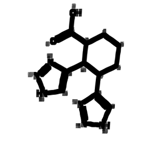 O=C(O)C1CCCC(c2c[nH]nn2)C1c1c[nH]nn1